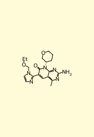 CCOCn1ccnc1-c1cc2c(C)nc(N)nc2n([C@H]2CCCOC2)c1=O